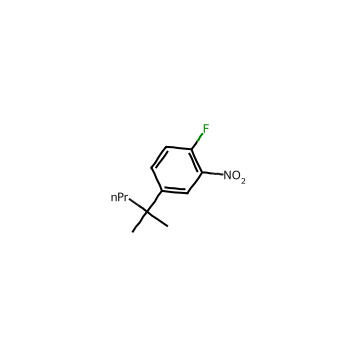 CCCC(C)(C)c1ccc(F)c([N+](=O)[O-])c1